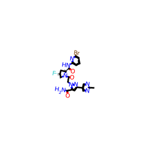 Cc1ncc(-c2cc(C(N)=O)n(CC(=O)N3C[C@H](F)C[C@H]3C(=O)Nc3cccc(Br)n3)n2)cn1